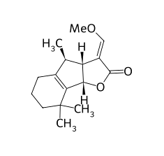 CO/C=C1/C(=O)O[C@@H]2C3=C(CCCC3(C)C)[C@@H](C)[C@H]12